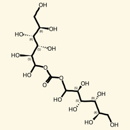 O=C(OC(O)[C@@H](O)[C@@H](O)[C@H](O)[C@H](O)CO)OC(O)[C@@H](O)[C@@H](O)[C@H](O)[C@H](O)CO